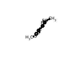 CCCCOc1ccc(-c2ccc(CCc3ccc(C4CCC(OCCC)CC4)c(F)c3F)cc2)c(F)c1F